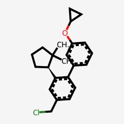 CC1(C)CCC[C@@H]1c1cc(CCl)ccc1-c1cccc(OC2CC2)c1